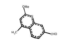 COc1cc(C)c2ccc(C=O)cc2n1